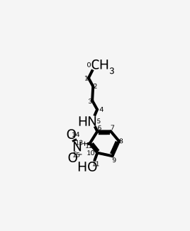 CCCCCNc1cccc(O)c1[N+](=O)[O-]